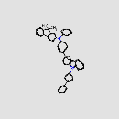 CC1(C)c2ccccc2-c2ccc(N(c3ccccc3)C3C=CC(c4ccc5c(c4)c4ccccc4n5-c4ccc(-c5ccccc5)cc4)=CC3)cc21